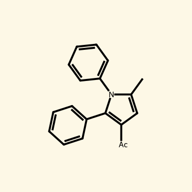 CC(=O)c1cc(C)n(-c2ccccc2)c1-c1ccccc1